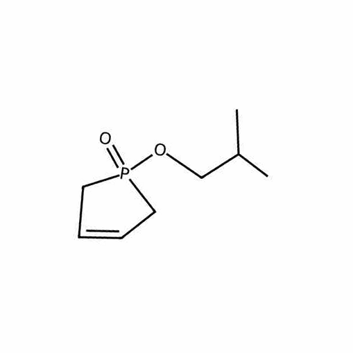 CC(C)COP1(=O)CC=CC1